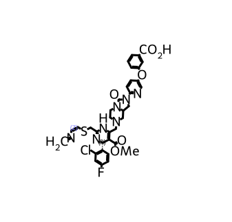 C=N/C=C\SCC1=N[C@@H](c2ccc(F)cc2Cl)C(C(=O)OC)=C(CN2CCN3C(=O)N(c4ccc(Oc5cccc(C(=O)O)c5)cn4)CC3C2)N1